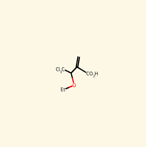 C=C(C(=O)O)C(OCC)C(Cl)(Cl)Cl